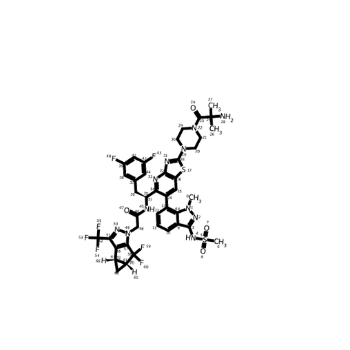 Cn1nc(NS(C)(=O)=O)c2cccc(-c3cc4sc(N5CCN(C(=O)C(C)(C)N)CC5)nc4nc3[C@H](Cc3cc(F)cc(F)c3)NC(=O)Cn3nc(C(F)(F)F)c4c3C(F)(F)[C@@H]3C[C@H]43)c21